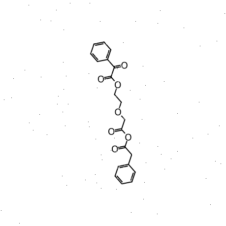 O=C(COCCOC(=O)C(=O)c1ccccc1)OC(=O)Cc1ccccc1